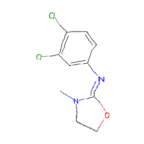 CN1CCOC1=Nc1ccc(Cl)c(Cl)c1